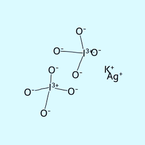 [Ag+].[K+].[O-][I+3]([O-])([O-])[O-].[O-][I+3]([O-])([O-])[O-]